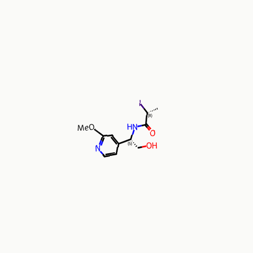 COc1cc([C@@H](CO)NC(=O)[C@@H](C)I)ccn1